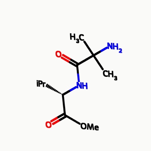 COC(=O)[C@@H](NC(=O)C(C)(C)N)C(C)C